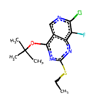 CCSc1nc(OC(C)(C)C)c2cnc(Cl)c(F)c2n1